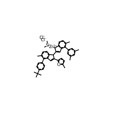 Cc1cc(C)cc(-c2c(C)ccc3c2C=C(C2C(c4ccc(C)o4)=Cc4c2ccc(C)c4-c2ccc(C(C)(C)C)cc2)[CH]3[Zr+2]=[Si](C)C)c1.[Cl-].[Cl-]